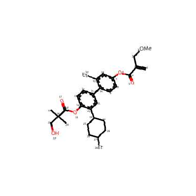 C=C(COC)C(=O)Oc1ccc(-c2ccc(OC(=O)C(C)(C)CO)c(C3CCC(CC)CC3)c2)c(CC)c1